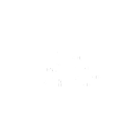 CCC1(CCC(C)(C)O)C(=O)NC(=O)NC1=O